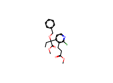 CCC(OCc1ccccc1)(C(=O)OC)c1ccnc(F)c1CCC(=O)OC